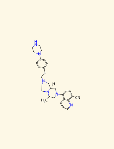 C[C@@H]1CN(c2ccc(C#N)c3ncccc23)C[C@@H]2CN(CCc3ccc(N4CCNCC4)cc3)CCN21